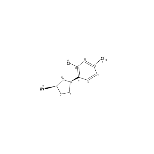 CC(C)[C@@H]1CC[C@H](c2ccc(C(F)(F)F)cc2Cl)O1